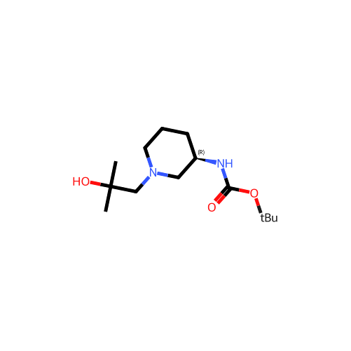 CC(C)(O)CN1CCC[C@@H](NC(=O)OC(C)(C)C)C1